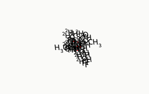 [2H]c1c([2H])c(F)c(F)c(CSc2c([2H])c(=O)c3c([2H])c(C)c([2H])c([2H])c3n2CC(=O)N(C([2H])([2H])c2c([2H])c([2H])c(-c3c([2H])c([2H])c(C(F)(F)F)c([2H])c3[2H])c([2H])c2[2H])C2([2H])C([2H])([2H])C([2H])([2H])N(C([2H])([2H])C([2H])([2H])OC)C([2H])([2H])C2([2H])[2H])c1[2H]